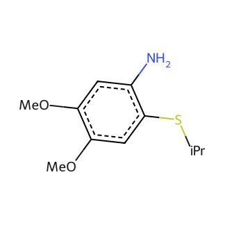 COc1cc(N)c(SC(C)C)cc1OC